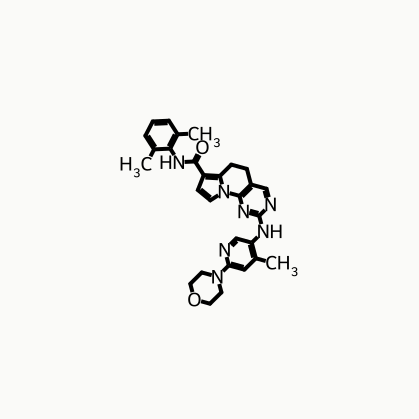 Cc1cc(N2CCOCC2)ncc1Nc1ncc2c(n1)-n1ccc(C(=O)Nc3c(C)cccc3C)c1CC2